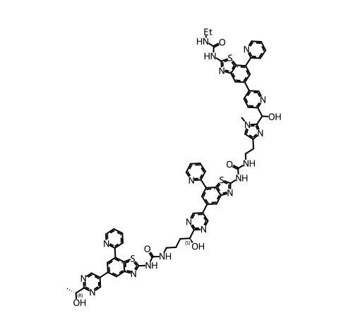 CCNC(=O)Nc1nc2cc(-c3ccc(C(O)c4nc(CCNC(=O)Nc5nc6cc(-c7cnc([C@@H](O)CCCNC(=O)Nc8nc9cc(-c%10cnc([C@@H](C)O)nc%10)cc(-c%10ccccn%10)c9s8)nc7)cc(-c7ccccn7)c6s5)cn4C)nc3)cc(-c3ccccn3)c2s1